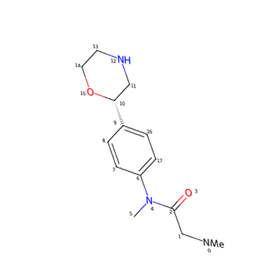 CNCC(=O)N(C)c1ccc([C@H]2CNCCO2)cc1